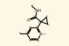 CNC(=O)C1(c2cc(C)ccn2)CC1